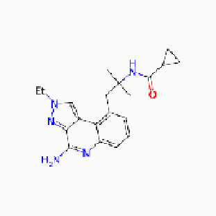 CCn1cc2c(n1)c(N)nc1cccc(CC(C)(C)NC(=O)C3CC3)c12